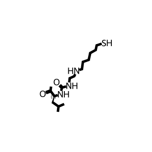 CC(=O)[C@H](CC(C)C)NC(=O)NCCNCCCCCCS